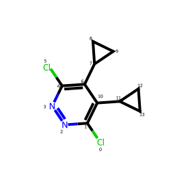 Clc1nnc(Cl)c(C2CC2)c1C1CC1